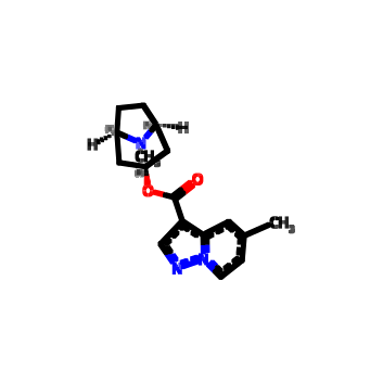 Cc1ccn2ncc(C(=O)O[C@H]3C[C@H]4CC[C@@H](C3)N4C)c2c1